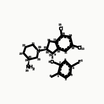 Cc1ccc(F)cc1O[C@H]1c2cc(Cl)cc(Cl)c2C[C@@H]1N1CCC[C@@H](N)C1